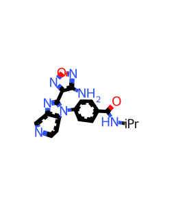 CC(C)NC(=O)c1ccc(-n2c(-c3nonc3N)nc3cnccc32)cc1